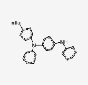 CCCCc1ccc(N(c2ccccc2)c2ccc(Nc3ccccc3)cc2)cc1